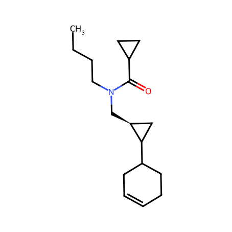 CCCCN(C[C@H]1CC1C1CC=CCC1)C(=O)C1CC1